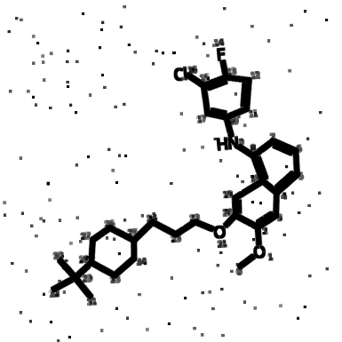 COc1cc2cccc(Nc3ccc(F)c(Cl)c3)c2cc1OCCCC1CCC(C(C)(C)C)CC1